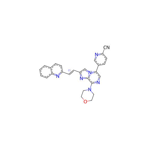 N#Cc1ccc(-c2cnc(N3CCOCC3)c3nc(/C=C/c4ccc5ccccc5n4)cn23)cn1